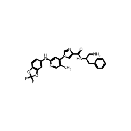 Cc1cnc(Nc2ccc3c(c2)OC(F)(F)O3)cc1-n1cnc(C(=O)NC(CN)Cc2ccccc2)c1